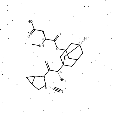 CN[C@@H](CC(=O)O)C(=O)OC12CC3C[C@H](C1)CC([C@H](N)C(=O)N1C4CC4C[C@H]1C#N)(C3)C2